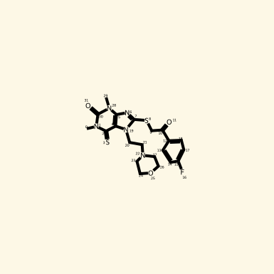 Cn1c(=S)c2c(nc(SCC(=O)c3ccc(F)cc3)n2CCN2CCOCC2)n(C)c1=O